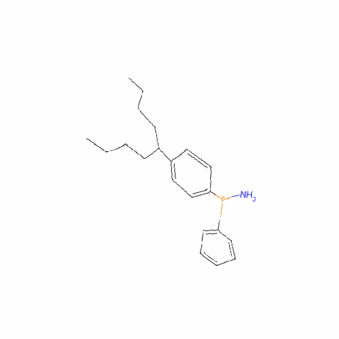 CCCCC(CCCC)c1ccc(P(N)c2ccccc2)cc1